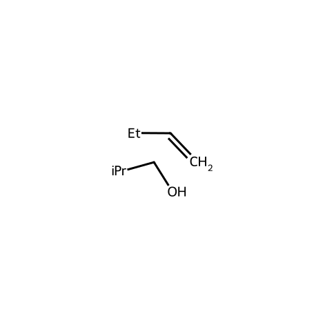 C=CCC.CC(C)CO